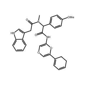 COc1ccc(C(C(=O)NC2=COC=C(C3=CC=CCC3)O2)N(C)C(=O)Cc2c[nH]c3ccccc23)cc1